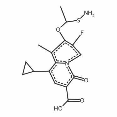 Cc1c(OC(C)SN)c(F)cn2c(=O)c(C(=O)O)cc(C3CC3)c12